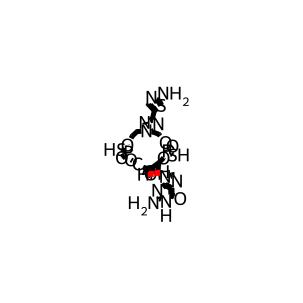 Nc1nc2c(ncn2[C@@H]2O[C@@H]3COP(=O)(S)OCCn4nc(-c5cnc(N)s5)nc4COP(=O)(S)O[C@@H]2[C@@H]3F)c(=O)[nH]1